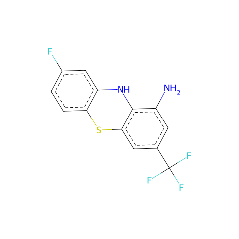 Nc1cc(C(F)(F)F)cc2c1Nc1cc(F)ccc1S2